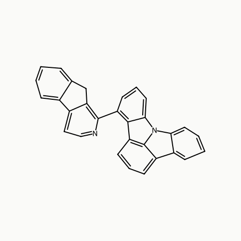 c1ccc2c(c1)Cc1c-2ccnc1-c1cccc2c1c1cccc3c4ccccc4n2c31